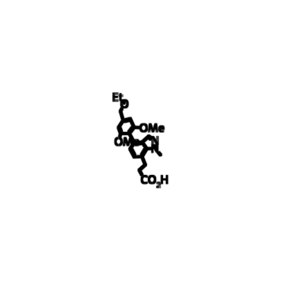 CCOCc1cc(OC)c(-c2ccc(CCC(=O)O)c3c2cnn3C)c(OC)c1